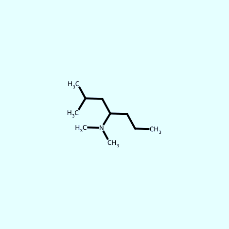 CCCC(CC(C)C)N(C)C